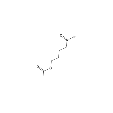 CC(=O)OCCCC[N+](=O)[O-]